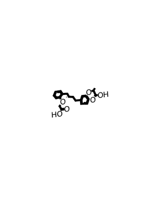 CC(Oc1cccc(CC[CH]Cc2ccccc2OCC(=O)O)c1)C(=O)O